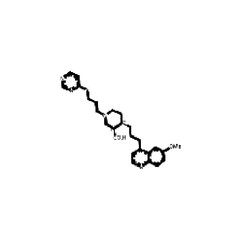 COc1ccc2nccc(CCC[C@@H]3CCN(CCCSc4ccncn4)C[C@@H]3C(=O)O)c2c1